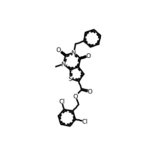 Cn1c(=O)n(Cc2ccccc2)c(=O)c2cc(C(=O)OCc3c(Cl)cccc3Cl)sc21